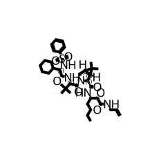 C=CCNC(=O)C(=O)C(CCCC)NC(=O)[C@@H]1[C@@H]2[C@H](CN1C(=O)[C@@H](NC(=O)[C@@H](NS(=O)(=O)c1ccccc1)C1CCCCC1)C(C)(C)C)C2(C)C